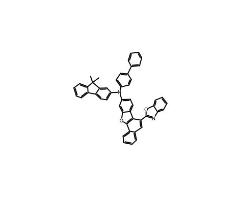 CC1(C)c2ccccc2-c2ccc(N(c3ccc(-c4ccccc4)cc3)c3ccc4c(c3)oc3c5ccccc5cc(-c5nc6ccccc6o5)c43)cc21